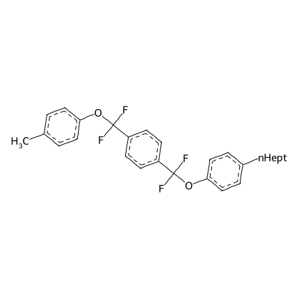 CCCCCCCc1ccc(OC(F)(F)c2ccc(C(F)(F)Oc3ccc(C)cc3)cc2)cc1